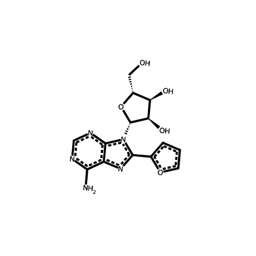 Nc1ncnc2c1nc(-c1ccco1)n2[C@@H]1O[C@H](CO)[C@@H](O)[C@H]1O